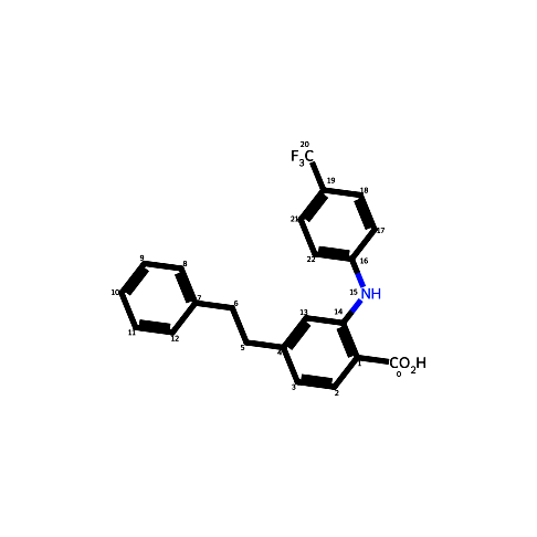 O=C(O)c1ccc(CCc2ccccc2)cc1Nc1ccc(C(F)(F)F)cc1